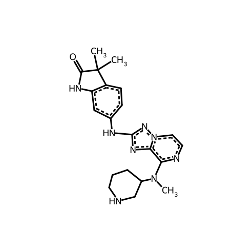 CN(c1nccn2nc(Nc3ccc4c(c3)NC(=O)C4(C)C)nc12)C1CCCNC1